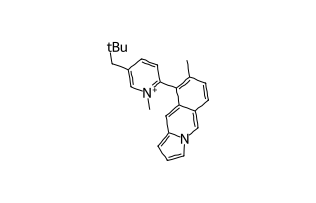 Cc1ccc2cn3cccc3cc2c1-c1ccc(CC(C)(C)C)c[n+]1C